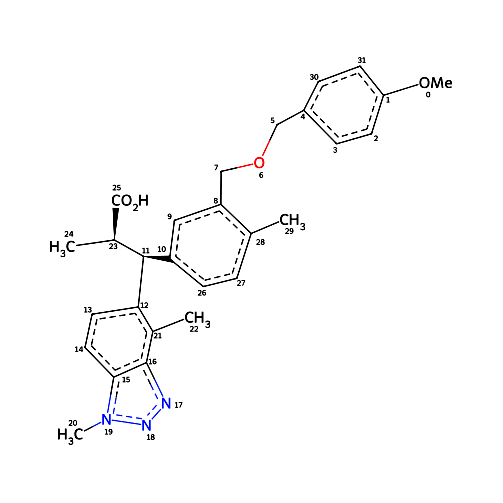 COc1ccc(COCc2cc([C@@H](c3ccc4c(nnn4C)c3C)[C@@H](C)C(=O)O)ccc2C)cc1